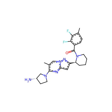 Cc1cn2nc([C@@H]3CCCCN3C(=O)c3ccc(C)c(F)c3F)cc2nc1N1CC[C@H](N)C1